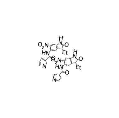 CCC1C(=O)Nc2cc([N+](=O)[O-])c(NC(=O)c3cccnc3)cc21.CCC1C(=O)Nc2cc([N+](=O)[O-])c(NC(=O)c3ccncc3)cc21